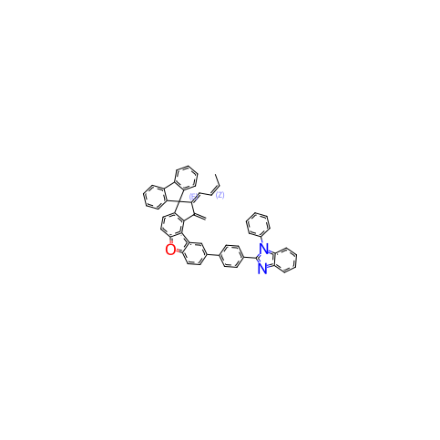 C=C1/C(=C\C=C/C)C2(c3ccccc3-c3ccccc32)c2ccc3oc4ccc(-c5ccc(-c6nc7ccccc7n6-c6ccccc6)cc5)cc4c3c21